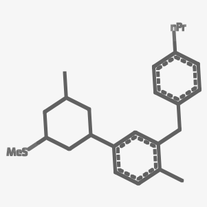 CCCc1ccc(Cc2cc(C3CC(C)CC(SC)C3)ccc2C)cc1